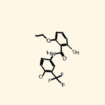 CCOc1cccc(O)c1C(=O)Nc1ccc(Cl)c(C(F)(F)F)c1